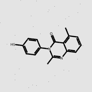 Cc1cccc2nc(C)n(-c3ccc(S)cc3)c(=O)c12